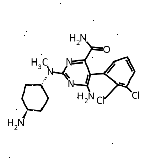 CN(c1nc(N)c(-c2cccc(Cl)c2Cl)c(C(N)=O)n1)[C@H]1CC[C@H](N)CC1